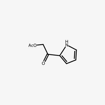 CC(=O)OCC(=O)c1ccc[nH]1